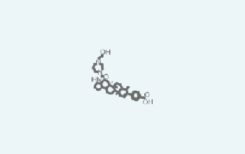 CC1C(c2ccc(C(=O)O)cc2)=CCC2(C)C1CCC1(C)C2CCC2C3CCCC3(NC(=O)N3CCCN(CCO)CC3)CC[C@]21C